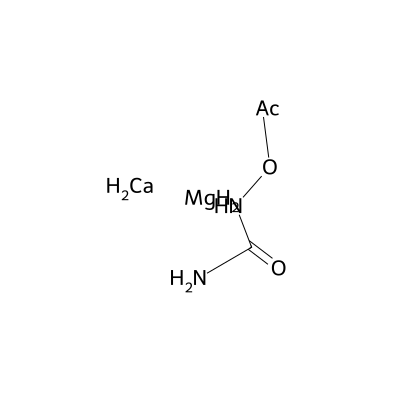 CC(=O)ONC(N)=O.[CaH2].[MgH2]